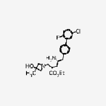 CCOC(=O)[C@@H](C[C@H](N)Cc1ccc(-c2cc(Cl)ccc2F)cc1)CN1CC(C)(O)C1